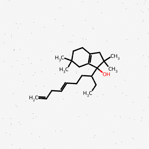 C=CC/C=C/CCC(CC)C1(O)C2=C(CCC(C)(C)C2)CC1(C)C